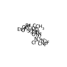 CCOP(=O)(CSC[C@H]1O[C@@H](n2ncc3c(N4CCC(F)(F)C4)c(C#N)c(Cl)nc32)[C@@H]2OC(C)(C)O[C@@H]21)OCC